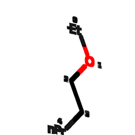 C[CH]OCCCCC